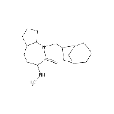 CNC1CCC2CCCC2N(CC2CC3CCCC2C3)C1=O